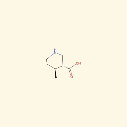 C[C@H]1CCNC[C@@H]1C(=O)O